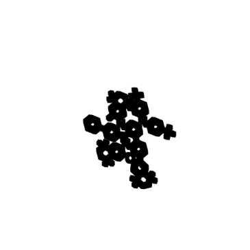 Cc1cc2c(cc1N1c3cc(-c4ccccc4)ccc3B3c4c(cc(N(c5ccc(C(C)(C)C)cc5)c5ccc(C(C)(C)C)cc5)cc41)-c1ccc4c(oc5cc6c(cc54)C(C)(C)CCC6(C)C)c1N3c1ccc3c(c1)C(C)(C)CCC3(C)C)C(C)(C)CCC2(C)C